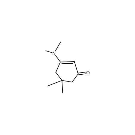 CN(C)C1=CC(=O)CC(C)(C)C1